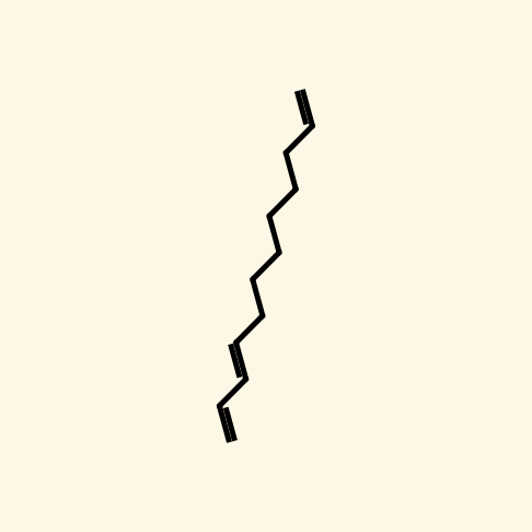 C=CC=CCCCCCCC=C